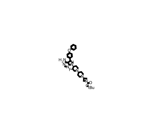 CC(C)(C)OC(=O)N1CC(N2CCC(N3CC[C@@H](n4nc(-c5ccc(Oc6ccccc6)cc5)c5c(N)ncnc54)[C@H](F)C3)CC2)C1